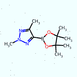 Cc1nn(C)nc1B1OC(C)(C)C(C)(C)O1